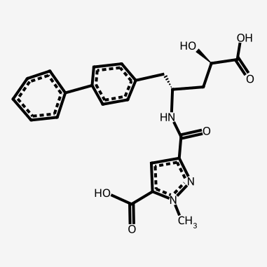 Cn1nc(C(=O)N[C@H](Cc2ccc(-c3ccccc3)cc2)C[C@@H](O)C(=O)O)cc1C(=O)O